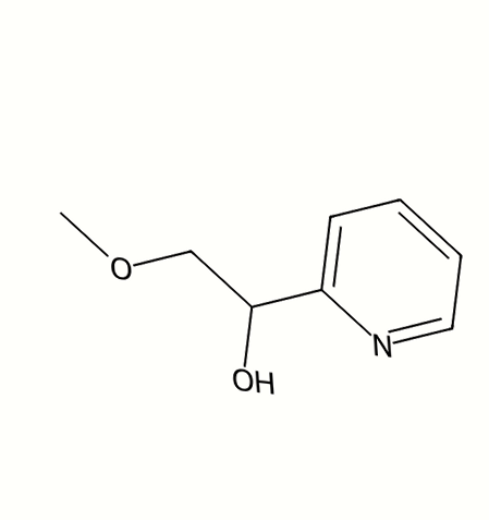 COCC(O)c1ccccn1